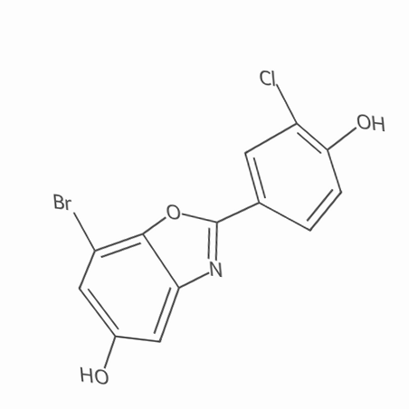 Oc1cc(Br)c2oc(-c3ccc(O)c(Cl)c3)nc2c1